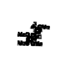 COc1cc(/C=C(/Cl)C(=O)c2ccc(OC)c(N(C)C)c2)c(OC)c(OC)c1